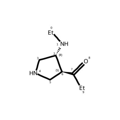 CCN[C@H]1CNC[C@@H]1C(=O)CC